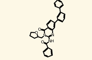 O=C(Nc1nc2cc(-c3cccc(-c4ccccc4)c3)ccc2c(=O)n1CC1CCCO1)c1ccccc1